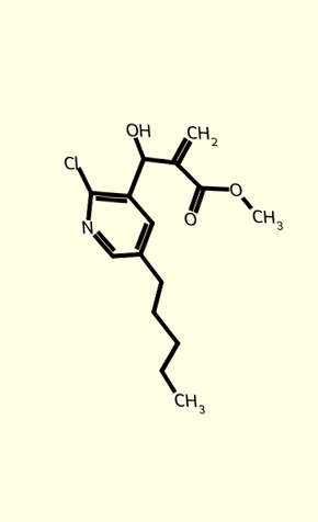 C=C(C(=O)OC)C(O)c1cc(CCCCC)cnc1Cl